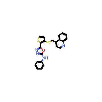 c1ccc(Nc2nnc(-c3sccc3SCc3ccnc4ccccc34)o2)cc1